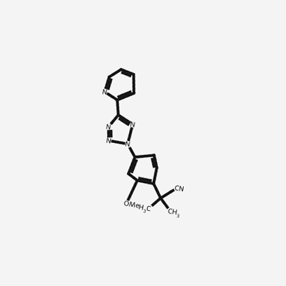 COc1cc(-n2nnc(-c3ccccn3)n2)ccc1C(C)(C)C#N